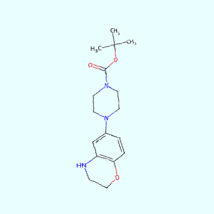 CC(C)(C)OC(=O)N1CCN(c2ccc3c(c2)NCCO3)CC1